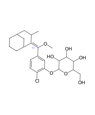 CO/C(=C1\C(C)CC2CCCC1C2)c1ccc(Cl)c(OC2OC(CO)C(O)C(O)C2O)c1